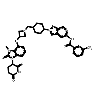 Cn1c(=O)n(C2CCC(=O)NC2=O)c2cccc(OC3CN(CC4CCC(n5cc6cc(NC(=O)c7cccc(C(F)(F)F)n7)ncc6n5)CC4)C3)c21